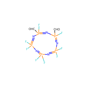 O=CP1(F)=NP(F)(F)=NP(F)(F)=NP(F)(F)=NP(F)(C=O)=N1